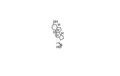 C/C(=N\O)[C@H]1CC[C@H]2[C@@H]3CC[C@@H]4C[C@](C)(O)CC[C@@H]4[C@H]3CC[C@]12C